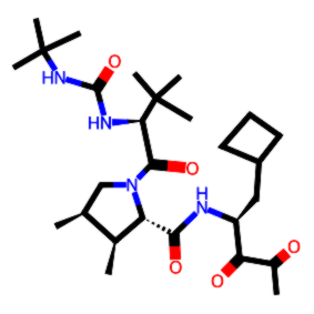 CC(=O)C(=O)[C@H](CC1CCC1)NC(=O)[C@@H]1[C@@H](C)[C@@H](C)CN1C(=O)[C@@H](NC(=O)NC(C)(C)C)C(C)(C)C